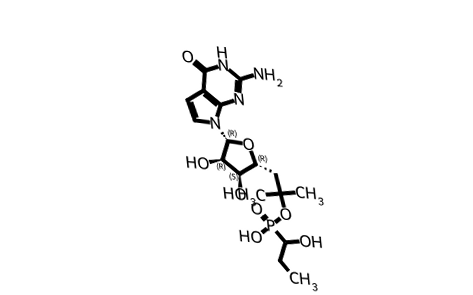 CCC(O)P(=O)(O)OC(C)(C)C[C@H]1O[C@@H](n2ccc3c(=O)[nH]c(N)nc32)[C@H](O)[C@@H]1O